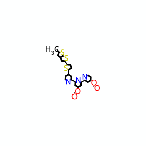 Cc1cc2cc(-c3ccc(-c4ccnc(-c5cc(OC=O)cc(-c6cc(OC=O)ccn6)n5)c4)s3)sc2s1